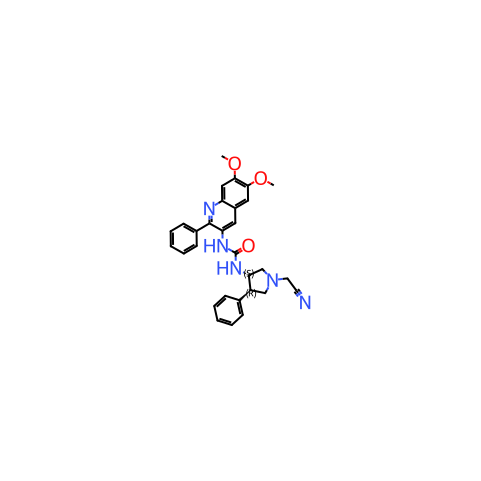 COc1cc2cc(NC(=O)N[C@@H]3CN(CC#N)C[C@H]3c3ccccc3)c(-c3ccccc3)nc2cc1OC